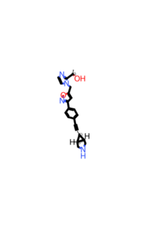 C[C@H](O)c1nccn1Cc1cc(-c2ccc(C#C[C@@H]3[C@H]4CNC[C@@H]34)cc2)no1